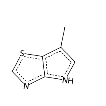 Cc1c[nH]c2ncsc12